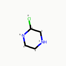 ClC1CNCC[N]1